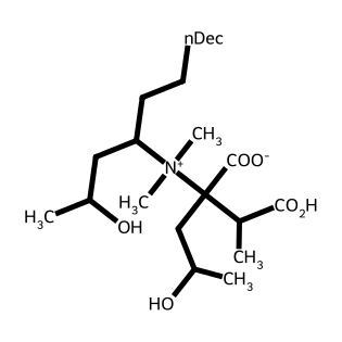 CCCCCCCCCCCCC(CC(C)O)[N+](C)(C)C(CC(C)O)(C(=O)[O-])C(C)C(=O)O